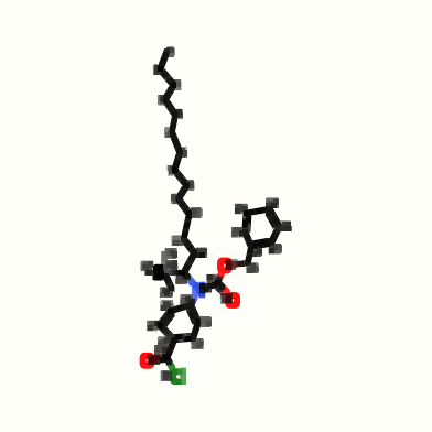 CCCCCCCCCCCCCC(N(C(=O)OCc1ccccc1)c1ccc(C(=O)Cl)cc1)[Si](C)(C)C